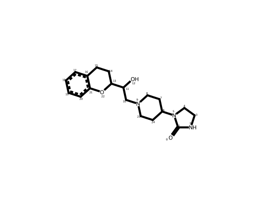 O=C1NCCN1C1CCN(CC(O)C2CCc3ccccc3O2)CC1